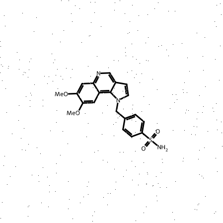 COc1cc2ncc3ccn(Cc4ccc(S(N)(=O)=O)cc4)c3c2cc1OC